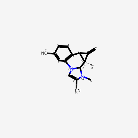 C=C1C2c3ccc(C#N)cc3N3C=C(C#N)N(C)C3[C@]12C